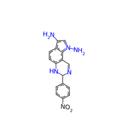 Nc1cn(N)c2c3c(ccc12)NC(c1ccc([N+](=O)[O-])cc1)N=C3